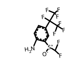 Nc1ccc(C(F)(C(F)(F)F)C(F)(F)F)cc1[S+]([O-])C(F)F